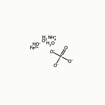 O.O.O=P([O-])([O-])[O-].[Fe+3].[NH4+].[OH-]